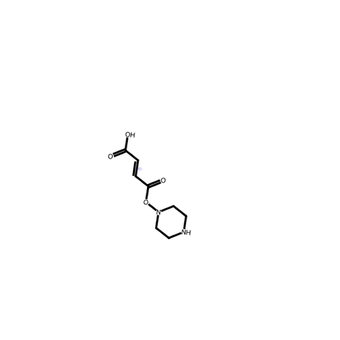 O=C(O)/C=C/C(=O)ON1CCNCC1